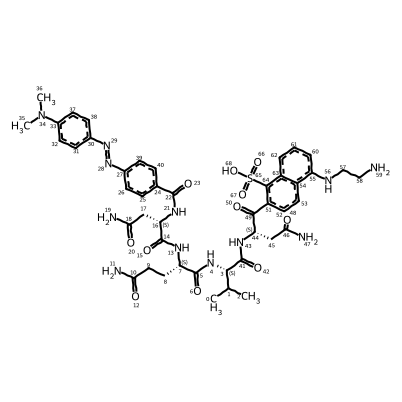 CC(C)[C@H](NC(=O)[C@H](CCC(N)=O)NC(=O)[C@H](CC(N)=O)NC(=O)c1ccc(N=Nc2ccc(N(C)C)cc2)cc1)C(=O)N[C@@H](CC(N)=O)C(=O)c1ccc2c(NCCN)cccc2c1S(=O)(=O)O